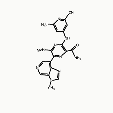 CNc1nc(Nc2cc(C)nc(C#N)c2)c(C(N)=O)nc1-c1cncc2c1ncn2C